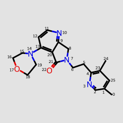 Cc1cnc(CCN2Cc3nccc(N4CCOCC4)c3C2=O)c(C)c1